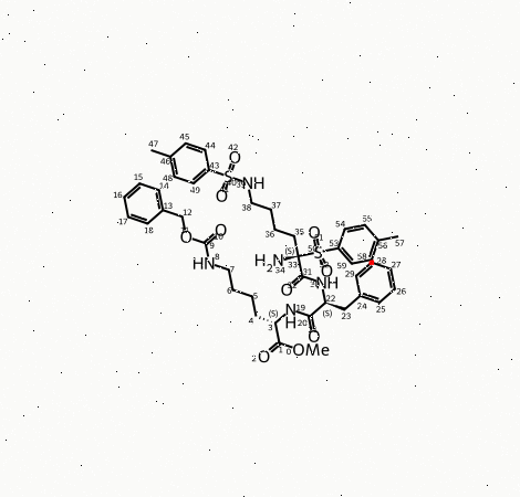 COC(=O)[C@H](CCCCNC(=O)OCc1ccccc1)NC(=O)[C@H](Cc1ccccc1)NC(=O)[C@](N)(CCCCNS(=O)(=O)c1ccc(C)cc1)S(=O)(=O)c1ccc(C)cc1